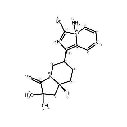 CC1(C)C[C@H]2CC[C@H](C3=C4C=NC=C[N+]4(N)C(Br)=N3)CN2C1=O